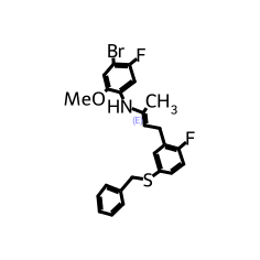 COc1cc(Br)c(F)cc1N/C(C)=C/Cc1cc(SCc2ccccc2)ccc1F